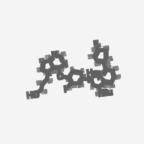 CCCCC(CNc1ccc(Oc2ncnc3ccn(CCCO)c23)c(F)c1)c1cccc(-c2ccc(F)cc2)[n+]1[O-]